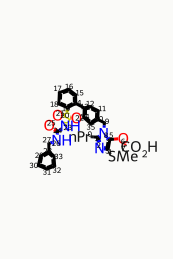 CCCc1nc(SC)c(OC(=O)O)n1Cc1ccc(-c2ccccc2S(=O)(=O)NC(=O)NCc2ccccc2)cc1